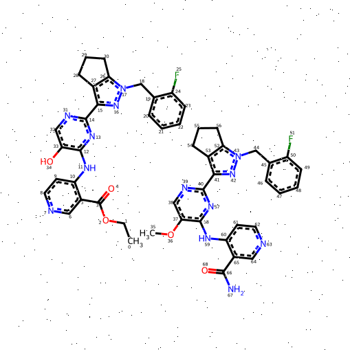 CCOC(=O)c1cnccc1Nc1nc(-c2nn(Cc3ccccc3F)c3c2CCC3)ncc1O.COc1cnc(-c2nn(Cc3ccccc3F)c3c2CCC3)nc1Nc1ccncc1C(N)=O